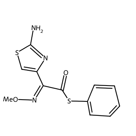 CON=C(C(=O)Sc1ccccc1)c1csc(N)n1